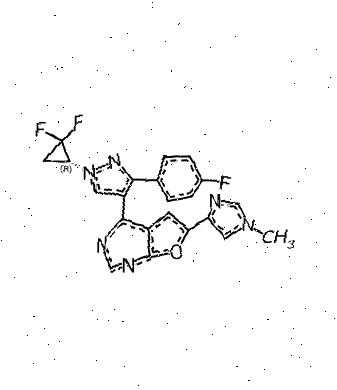 Cn1cnc(-c2cc3c(-c4cn([C@@H]5CC5(F)F)nc4-c4ccc(F)cc4)ncnc3o2)c1